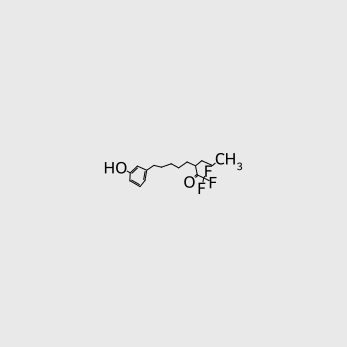 CCCC(CCCCCc1cccc(O)c1)C(=O)C(F)(F)F